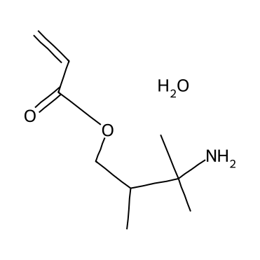 C=CC(=O)OCC(C)C(C)(C)N.O